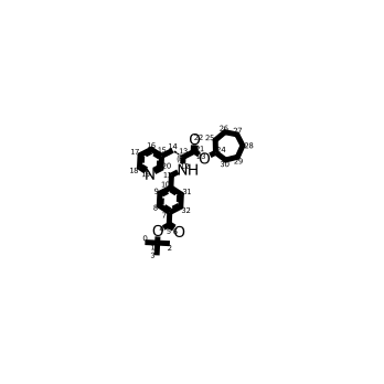 CC(C)(C)OC(=O)c1ccc(CN[C@H](Cc2cccnc2)C(=O)OC2CCCCCC2)cc1